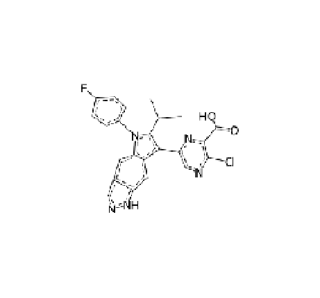 CC(C)c1c(-c2cnc(Cl)c(C(=O)O)n2)c2cc3[nH]ncc3cc2n1-c1ccc(F)cc1